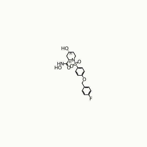 O=C(NO)[C@H]1C[C@H](O)CCN1S(=O)(=O)c1ccc(OCc2ccc(F)cc2)cc1